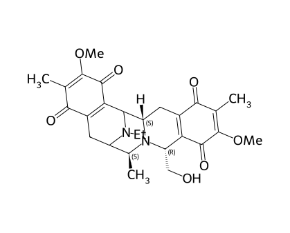 CCN1C2CC3=C(C(=O)C(OC)=C(C)C3=O)C1[C@@H]1CC3=C(C(=O)C(OC)=C(C)C3=O)[C@H](CO)N1[C@H]2C